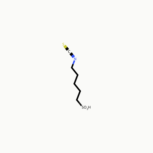 O=S(=O)(O)CCCCCN=C=S